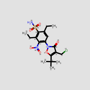 CCc1cc(-n2oc(C(C)(C)C)c(CCl)c2=O)c([N+](=O)[O-])c(CC)c1S(N)(=O)=O